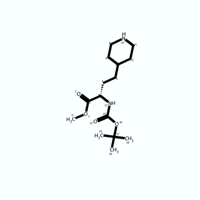 COC(=O)[C@H](CCC1CCNCC1)NC(=O)OC(C)(C)C